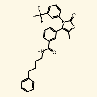 Cc1sc(=O)n(-c2cccc(C(F)(F)F)c2)c1-c1cccc(C(=O)NCCCCc2ccccc2)c1